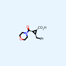 CC(C)C[C@@H]1[C@@H](C(=O)O)[C@@H]1C(=O)N1CCOCC1